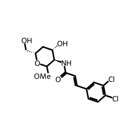 COC1O[C@H](CO)C[C@H](O)[C@H]1NC(=O)/C=C/c1ccc(Cl)c(Cl)c1